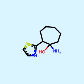 NC1(O)CCCCCC1c1nccs1